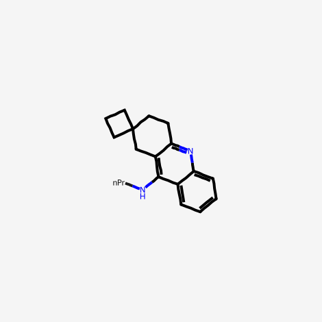 CCCNc1c2c(nc3ccccc13)CCC1(CCC1)C2